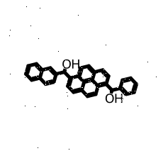 OC(c1ccccc1)c1ccc2ccc3c(C(O)c4ccc5ccccc5c4)ccc4ccc1c2c43